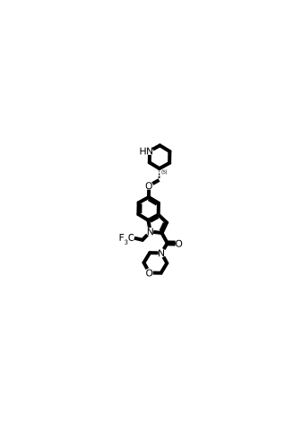 O=C(c1cc2cc(OC[C@H]3CCCNC3)ccc2n1CC(F)(F)F)N1CCOCC1